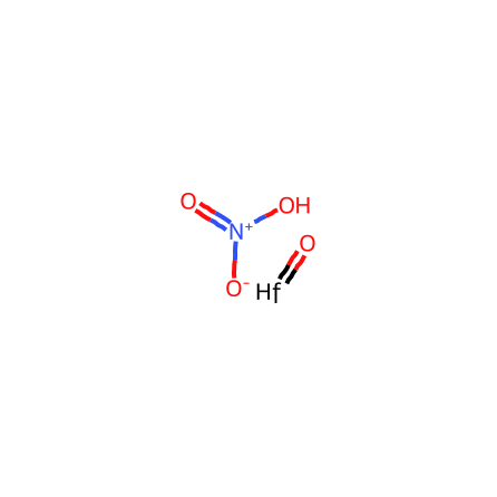 O=[N+]([O-])O.[O]=[Hf]